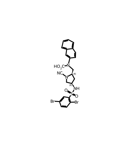 N#CN1C[C@H](NS(=O)(=O)c2cc(Br)ccc2Br)C[C@@H]1CN(C(=O)O)c1ccc2ccccc2c1